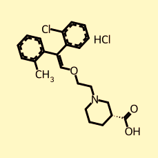 Cc1ccccc1C(=COCCN1CCC[C@@H](C(=O)O)C1)c1ccccc1Cl.Cl